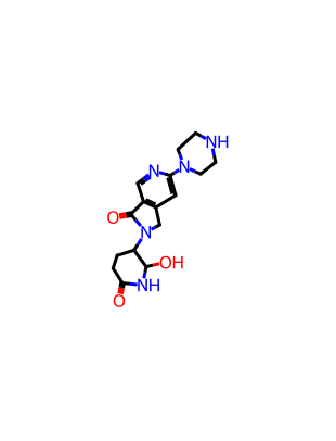 O=C1CCC(N2Cc3cc(N4CCNCC4)ncc3C2=O)C(O)N1